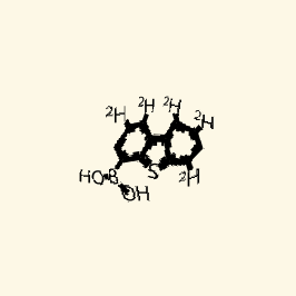 [2H]c1cc([2H])c2sc3c(B(O)O)cc([2H])c([2H])c3c2c1[2H]